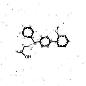 COc1ccccc1-c1ccc([C@H](OCC(C)O)c2ccccc2)cc1